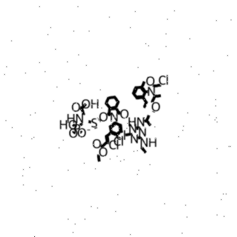 CCNc1nc(Cl)nc(NC(C)C)n1.CCOC(=O)/C(Cl)=C/c1cc(N2C(=O)C3=C(CCCC3)C2=O)ccc1Cl.CCc1cccc(C)c1N(C(=O)CCl)C(C)COC.C[S+](C)C.O=C(O)CNCP(=O)([O-])O